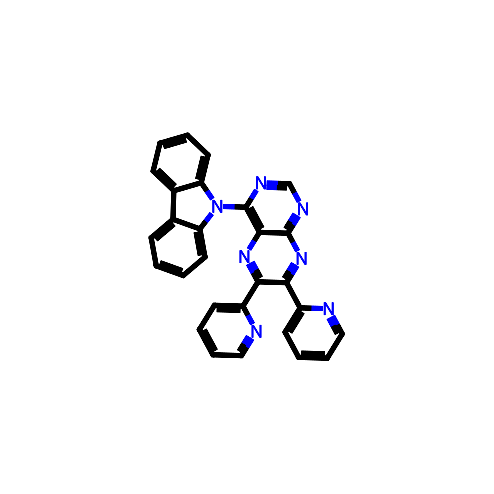 c1ccc(-c2nc3ncnc(-n4c5ccccc5c5ccccc54)c3nc2-c2ccccn2)nc1